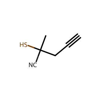 C#CCC(C)(S)C#N